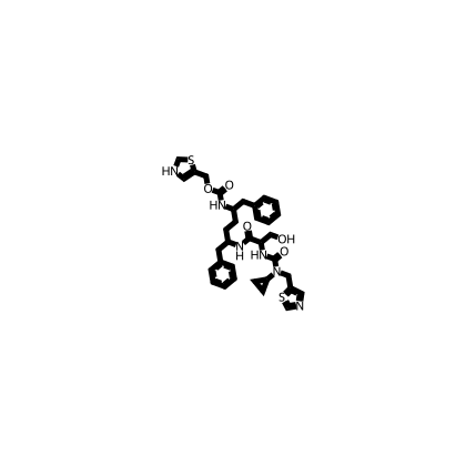 O=C(NC(CCC(Cc1ccccc1)NC(=O)C(CO)NC(=O)N(Cc1cncs1)C1CC1)Cc1ccccc1)OCC1=CNCS1